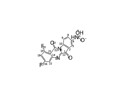 O=C1c2cc([NH+]([O-])O)ccc2-n2c1nc1cc(F)cc(F)c1c2=O